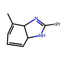 CCCC1=NC2C(C)=CC=CC2N1